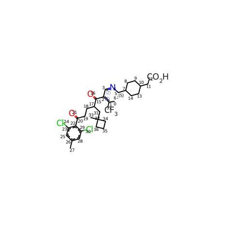 C/C(=C(\C=N/[C@@H](C)C1CCC(CC(=O)O)CC1)C(=O)C(CCC(=O)c1c(Cl)cc(C)cc1Cl)CC1(C)CCC1)C(F)(F)F